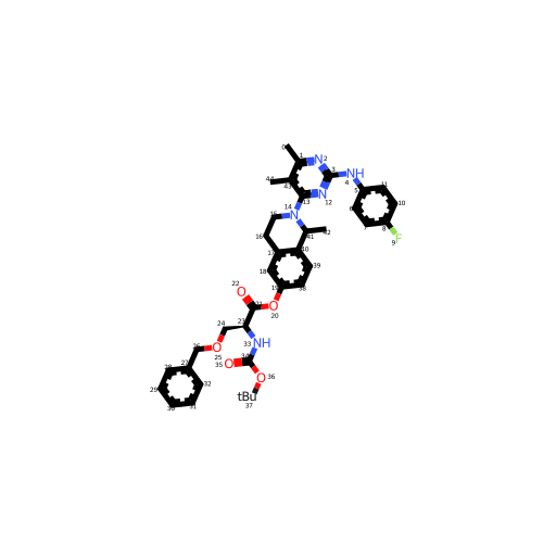 Cc1nc(Nc2ccc(F)cc2)nc(N2CCc3cc(OC(=O)[C@H](COCc4ccccc4)NC(=O)OC(C)(C)C)ccc3C2C)c1C